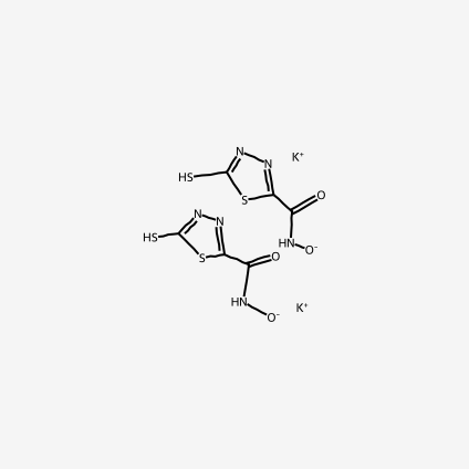 O=C(N[O-])c1nnc(S)s1.O=C(N[O-])c1nnc(S)s1.[K+].[K+]